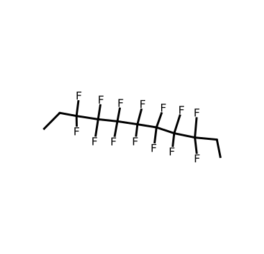 CCC(F)(F)C(F)(F)C(F)(F)C(F)(F)C(F)(F)C(F)(F)C(F)(F)CC